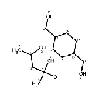 CC(O)CC(C)(C)O.OCC1CCC(CO)CC1